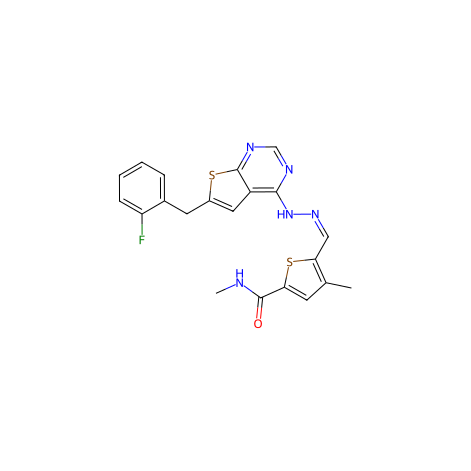 CNC(=O)c1cc(C)c(/C=N\Nc2ncnc3sc(Cc4ccccc4F)cc23)s1